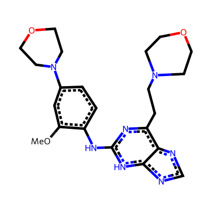 COc1cc(N2CCOCC2)ccc1Nc1nc(CCN2CCOCC2)c2ncnc-2[nH]1